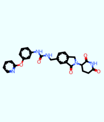 O=C1CCC(N2Cc3ccc(CNC(=O)Nc4cccc(Oc5ccccn5)c4)cc3C2=O)C(=O)N1